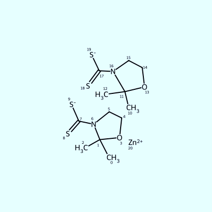 CC1(C)OCCN1C(=S)[S-].CC1(C)OCCN1C(=S)[S-].[Zn+2]